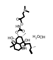 C=C[C@@H](C)CC(=O)[C@@]1(O)[C@@H](C)[C@@H](OC(=O)NOC(=O)CCN(C)C)[C@@H](O)[C@H]2C(C)(C)CC[C@H](O)[C@@]21C.Cl.O